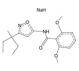 CCC(C)(CC)c1cc(NC(=O)c2c(OC)cccc2OC)on1.[NaH]